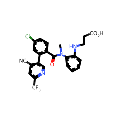 CN(C(=O)c1ccc(Cl)cc1-c1cnc(C(F)(F)F)cc1C#N)c1ccccc1NCCC(=O)O